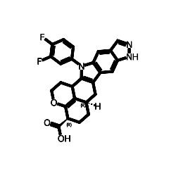 O=C(O)[C@@H]1CC[C@@H]2Cc3c(n(-c4ccc(F)c(F)c4)c4cc5cn[nH]c5cc34)C3CCOC1=C32